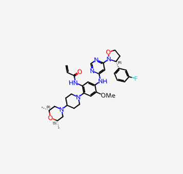 C=CC(=O)Nc1cc(Nc2cc(N3OCC[C@@H]3c3cccc(F)c3)ncn2)c(OC)cc1N1CCC(N2C[C@@H](C)O[C@@H](C)C2)CC1